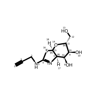 C#CCNC1=N[C@@H]2[C@H](O)[C@H](O)[C@@H](CO)O[C@@H]2S1